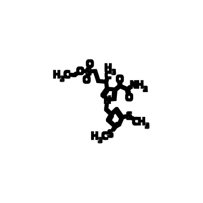 CCOS(=O)(=O)CCC(C)c1cn(Cc2cc(SC)cc(SC)c2)cc1C(=O)C(N)=O